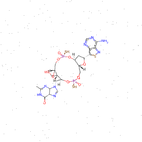 CC1=NC2C(N=CN2[C@@H]2O[C@@H]3CO[P@@](=O)(S)O[C@H]4C[C@H](c5snc6c(N)ncnc56)O[C@@H]4CO[P@@](=O)(S)O[C@@H]2[C@@H]3CO)C(=O)N1